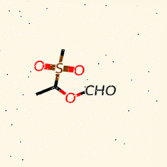 CC(OC=O)S(C)(=O)=O